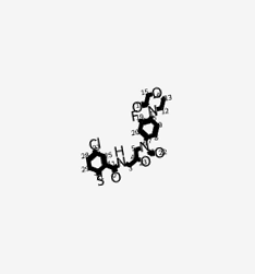 O=C(NCC1CN(c2ccc(N3CCOCC3=O)c(F)c2)C(=O)O1)C1=CC(Cl)=CCC1=S